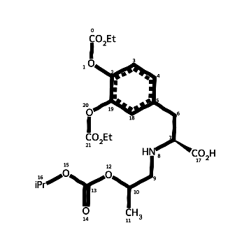 CCOC(=O)Oc1ccc(C[C@H](NCC(C)OC(=O)OC(C)C)C(=O)O)cc1OC(=O)OCC